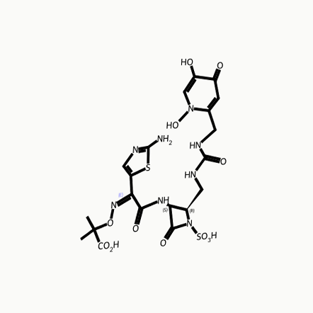 CC(C)(O/N=C(\C(=O)N[C@@H]1C(=O)N(S(=O)(=O)O)[C@@H]1CNC(=O)NCc1cc(=O)c(O)cn1O)c1cnc(N)s1)C(=O)O